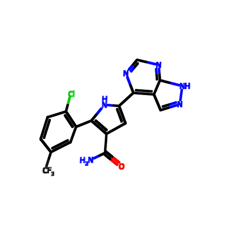 NC(=O)c1cc(-c2ncnc3[nH]ncc23)[nH]c1-c1cc(C(F)(F)F)ccc1Cl